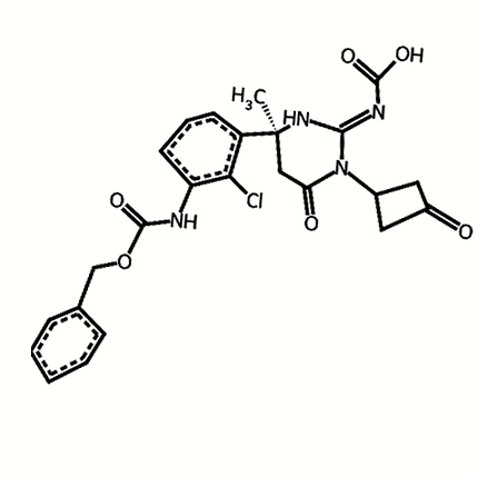 C[C@@]1(c2cccc(NC(=O)OCc3ccccc3)c2Cl)CC(=O)N(C2CC(=O)C2)/C(=N/C(=O)O)N1